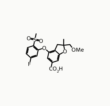 COCC1(C)Cc2c(Oc3cc(F)ccc3S(C)(=O)=O)cc(C(=O)O)cc2O1